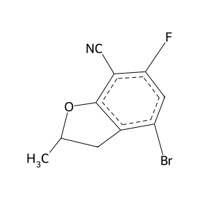 CC1Cc2c(Br)cc(F)c(C#N)c2O1